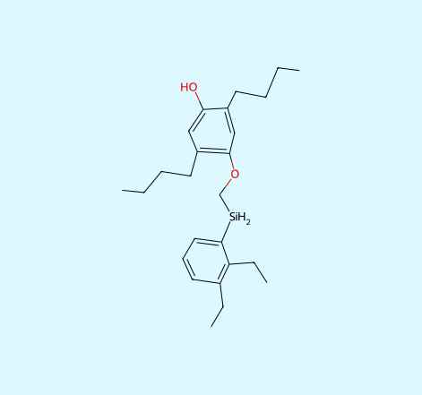 CCCCc1cc(OC[SiH2]c2cccc(CC)c2CC)c(CCCC)cc1O